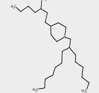 CCCCCCCC(CCCCCC)CN1CCC(CCC(C)CCCC)CC1